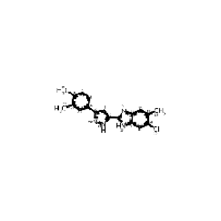 Cc1ccc(-c2cc(-c3nc4cc(C)c(Cl)cc4[nH]3)[nH]n2)cc1C